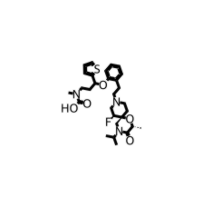 CC(C)N1C[C@@]2(CCN(CCc3ccccc3OC(CCN(C)C(=O)O)c3cccs3)C[C@@H]2F)O[C@H](C)C1=O